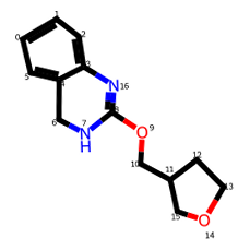 c1ccc2c(c1)CNC(OCC1CCOC1)=N2